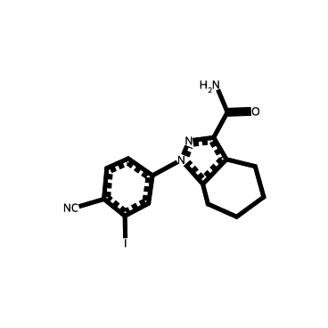 N#Cc1ccc(-n2nc(C(N)=O)c3c2CCCC3)cc1I